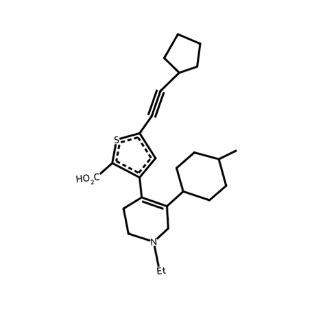 CCN1CCC(c2cc(C#CC3CCCC3)sc2C(=O)O)=C(C2CCC(C)CC2)C1